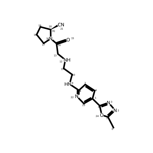 Cc1nnc(-c2ccc(NCCNCC(=O)N3CCC[C@H]3C#N)nc2)o1